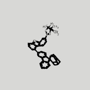 CC1(C)OB(c2ccc3c(c2)oc2cccc(-c4ccc5c(c4)-c4ccccc4C54C5CC6CC(C5)CC4C6)c23)OC1(C)C